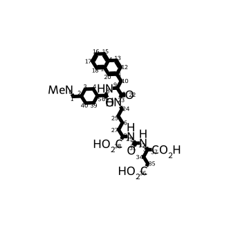 CNCC1CCC(C(=O)NC(Cc2ccc3ccccc3c2)C(=O)NCCCCC(NC(=O)NC(CCC(=O)O)C(=O)O)C(=O)O)CC1